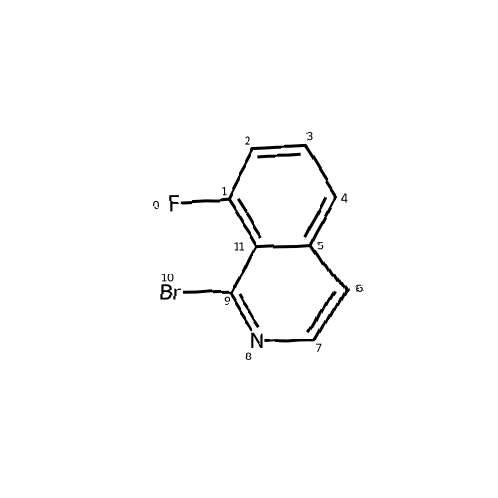 Fc1cccc2ccnc(Br)c12